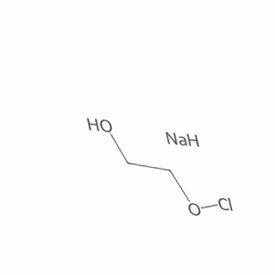 OCCOCl.[NaH]